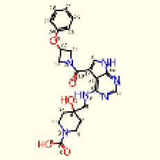 O=C(O)N1CCC(O)(CNc2ncnc3[nH]cc(C(=O)N4CC(Oc5ccccc5)C4)c23)CC1